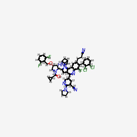 N#CCCc1cc2c(nc(-c3cnc(N4CCCC4)c(C#N)c3)c3cc(C4CC(OCc5c(F)cccc5F)CN4C(=O)C4CC4)n(C4C5CNC4C5)c32)c(F)c1-c1cccc(Cl)c1Cl